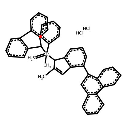 CC1=Cc2c(-c3cc4ccccc4c4ccccc34)cccc2[CH]1[Zr]([CH3])(=[SiH2])([c]1ccccc1)[CH]1c2ccccc2-c2ccccc21.Cl.Cl